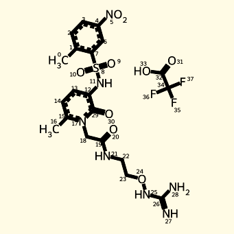 Cc1ccc([N+](=O)[O-])cc1S(=O)(=O)Nc1ccc(C)n(CC(=O)NCCONC(=N)N)c1=O.O=C(O)C(F)(F)F